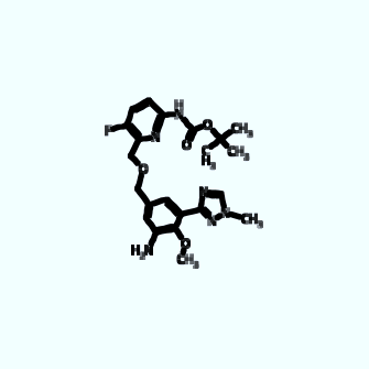 COc1c(N)cc(COCc2nc(NC(=O)OC(C)(C)C)ccc2F)cc1-c1ncn(C)n1